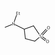 CCN(C)C1CCS(=O)(=O)C1